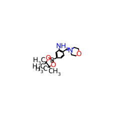 CC1(C)OB(c2ccc(CN3CCOCC3)c(N)c2)OC1(C)C